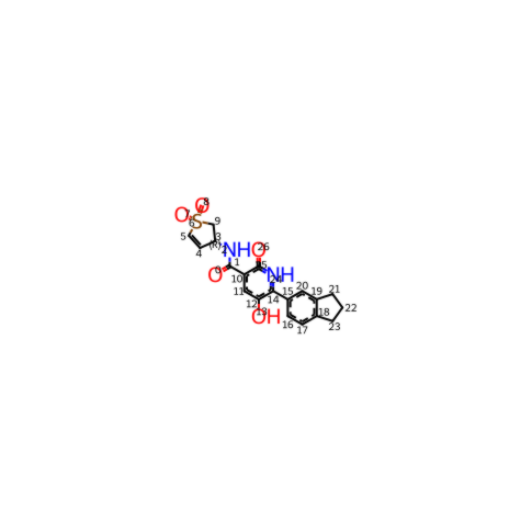 O=C(N[C@@H]1C=CS(=O)(=O)C1)c1cc(O)c(-c2ccc3c(c2)CCC3)[nH]c1=O